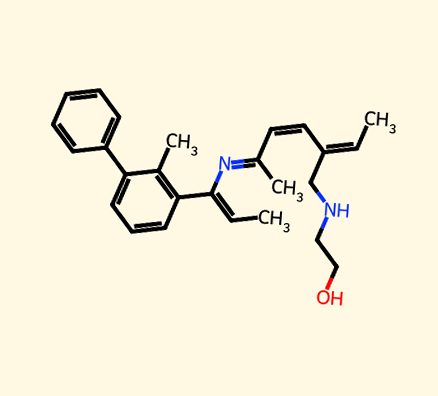 C\C=C(/N=C(C)/C=C\C(=C/C)CNCCO)c1cccc(-c2ccccc2)c1C